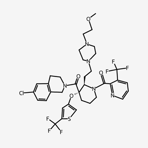 COCCN1CCN(CC[C@H]2N(C(=O)c3ncccc3C(F)(F)F)CCC[C@@]2(Oc2csc(C(F)(F)F)c2)C(=O)N2CCc3cc(Cl)ccc3C2)CC1